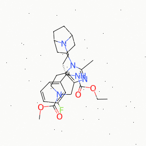 CCOC(=O)N[C@@H](CCN1C2CCC1CC(n1c(C)nc3c1CCN(C(=O)OC)C3)C2)c1cccc(F)c1